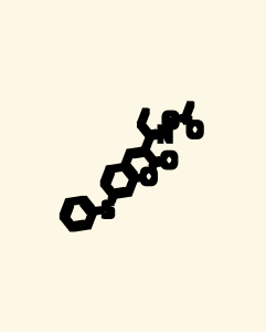 CC/C(=N\OC(C)=O)c1cc2ccc(Sc3ccccc3)cc2oc1=O